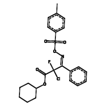 Cc1ccc(S(=O)(=O)ON=C(c2ccccc2)C(F)(Cl)C(=O)OC2CCCCC2)cc1